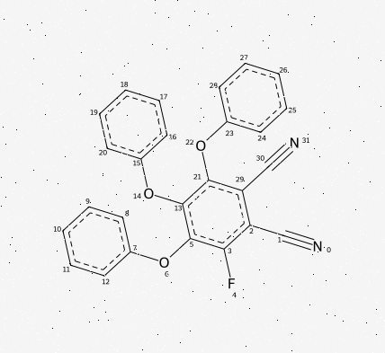 N#Cc1c(F)c(Oc2ccccc2)c(Oc2ccccc2)c(Oc2ccccc2)c1C#N